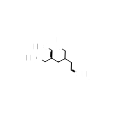 C=CC[C](CC)CC(=CC)CC